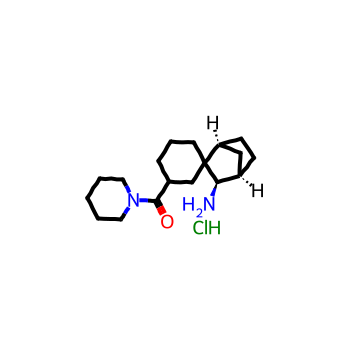 Cl.N[C@@H]1[C@@H]2CC[C@@H](C2)C12CCCC(C(=O)N1CCCCC1)C2